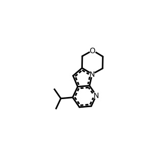 CC(C)c1ccnc2c1cc1n2CCOC1